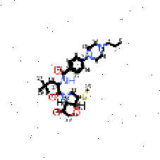 CCCN1CCN(c2ccc(C(=O)NC(CC(C)(C)C)C(=O)N3C[C@H](SC)[C@H]4OCC(=O)[C@H]43)cc2)CC1